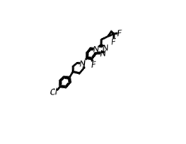 Fc1c(N2CCC(c3ccc(Cl)cc3)CC2)ccn2c(CC3CC3(F)F)nnc12